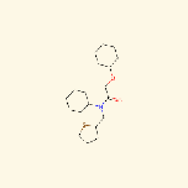 O=C(COC1CCCCC1)N(CC1CCCS1)C1CCCCC1